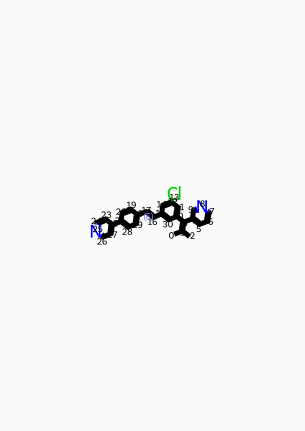 CC(C)=C(c1cccnc1)c1cc(Cl)cc(/C=C/c2ccc(-c3ccncc3)cc2)c1